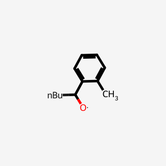 CCCCC([O])c1ccccc1C